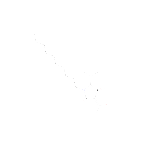 CCCCCCCCCCN1C(=O)/C(=C(\C)O)C(=O)C1C(C)C